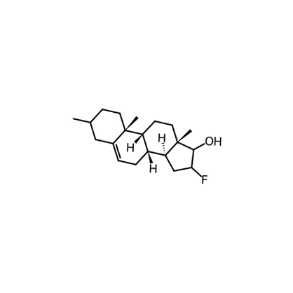 CC1CC[C@@]2(C)C(=CC[C@@H]3[C@H]2CC[C@]2(C)C(O)C(F)C[C@@H]32)C1